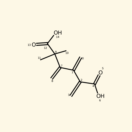 C=C(C(=C)C(=O)O)C(=C)C(C)(C)C(=O)O